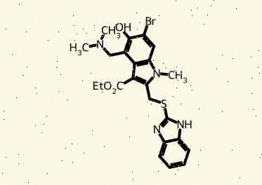 CCOC(=O)c1c(CSc2nc3ccccc3[nH]2)n(C)c2cc(Br)c(O)c(CN(C)C)c12